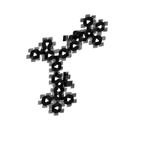 CC1(C)c2cc(-c3ccc(N(c4ccc(-c5ccc6c(c5)C(C)(C)c5cc7c(cc5-6)c(-c5ccccc5)c(-c5ccccc5)n7-c5ccccc5)cc4)c4ccc5c(c4)c4ccccc4n5-c4ccccc4)cc3)ccc2-c2cc3c(-c4ccccc4)c(-c4ccccc4)n(-c4ccccc4)c3cc21